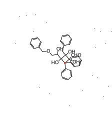 O=CC(O)(Cc1ccccc1)C(O)(Cc1ccccc1)C(O)(Cc1ccccc1)C(O)COCc1ccccc1